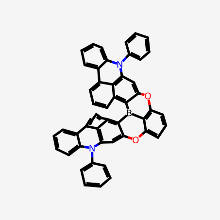 c1ccc(N2c3ccccc3-c3cccc4c5c(cc2c34)Oc2cccc3c2B5c2c(cc4c5c(cccc25)-c2ccccc2N4c2ccccc2)O3)cc1